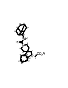 O=C(O)C[C@H]1CC2(CCN(C(=O)NC3C4CC5CC(C4)CC3C5)CC2)c2ccccc21